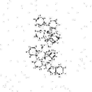 c1ccc(N(c2ccc3c(c2)-c2ccccc2-c2ccccc2C32c3ccccc3-c3c2ccc2oc4ccccc4c32)c2cccc3c2N(c2ccccc2)c2ccccc2-c2ccccc2-3)cc1